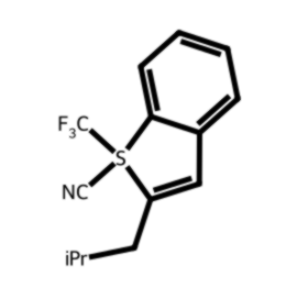 CC(C)CC1=Cc2ccccc2S1(C#N)C(F)(F)F